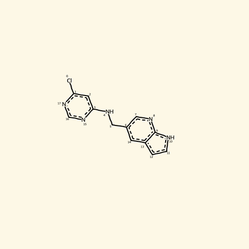 Clc1cc(NCc2cnc3[nH]ccc3c2)ncn1